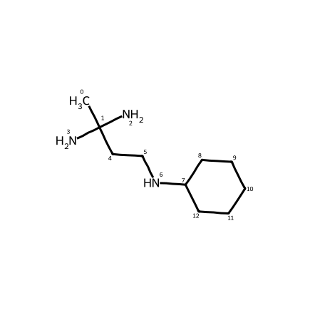 CC(N)(N)CCNC1CCCCC1